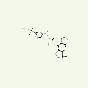 CC1(C)CCc2c1nc1c(c2NC(=O)N=[S@@](N)(=O)c2cnc(C(C)(O)CO)s2)CCC1